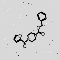 O=C(OCc1ccccc1)N1CCN(C(=O)c2ccco2)CC1